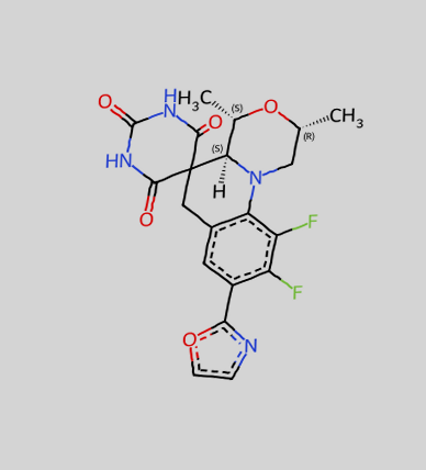 C[C@@H]1CN2c3c(cc(-c4ncco4)c(F)c3F)CC3(C(=O)NC(=O)NC3=O)[C@H]2[C@H](C)O1